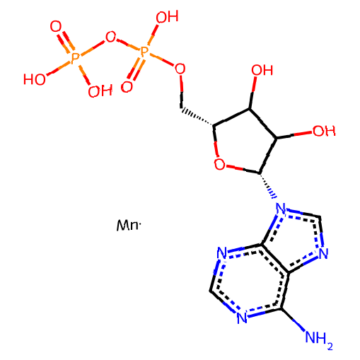 Nc1ncnc2c1ncn2[C@@H]1O[C@H](COP(=O)(O)OP(=O)(O)O)C(O)C1O.[Mn]